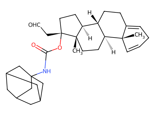 C[C@]12C=CCC=C1CC[C@@H]1[C@@H]2CC[C@@]2(C)[C@H]1CC[C@@]2(CC=O)OC(=O)NC12CC3CC(CC(C3)C1)C2